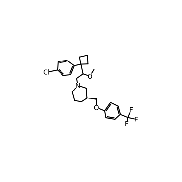 COC(CN1CCC[C@H](COc2ccc(C(F)(F)F)cc2)C1)C1(c2ccc(Cl)cc2)CCC1